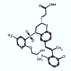 COC(=O)CC[C@H]1CN(S(=O)(=O)c2cc(C)cnc2OC[C@@H](C)O)c2cc(/C=C(\C)c3c(F)cccc3Cl)ccc2O1